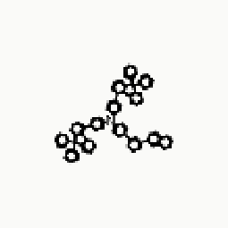 c1ccc(C2(c3ccccc3)c3ccccc3-c3c(-c4ccc(N(c5ccc(-c6cccc(-c7ccc8ccccc8c7)c6)cc5)c5ccc(-c6cccc7c6-c6ccccc6C7(c6ccccc6)c6ccccc6)cc5)cc4)cccc32)cc1